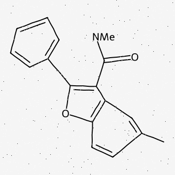 CNC(=O)c1c(-c2ccccc2)oc2ccc(C)cc12